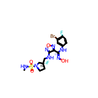 CNS(=O)(=O)N1CC[C@](F)(CNc2nonc2/C(=N/O)Nc2ccc(F)c(Br)c2)C1